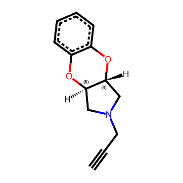 C#CCN1C[C@H]2Oc3ccccc3O[C@@H]2C1